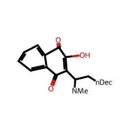 CCCCCCCCCCCC(NC)C1=C(O)C(=O)c2ccccc2C1=O